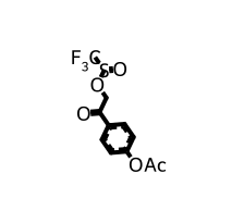 CC(=O)Oc1ccc(C(=O)COS(=O)C(F)(F)F)cc1